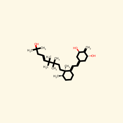 C=C1[C@H](O)CC(=C/C=C2\CCC[C@@H](C)[C@@]2(C)CCC(C)(C)C(C)(C)/C=C/CC(C)(C)O)C[C@H]1O